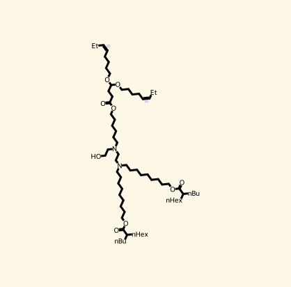 CC/C=C\CCCCOC(CCC(=O)OCCCCCCN(CCO)CCN(CCCCCCCCCOC(=O)C(CCCC)CCCCCC)CCCCCCCCCOC(=O)C(CCCC)CCCCCC)OCCCC/C=C\CC